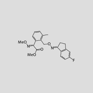 CO/N=C(/C(=O)OC)c1cccc(C)c1CO/N=C1\CCc2cc(F)ccc21